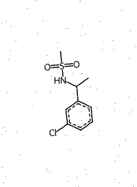 CC(NS(C)(=O)=O)c1cccc(Cl)c1